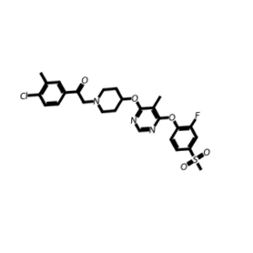 Cc1cc(C(=O)CN2CCC(Oc3ncnc(Oc4ccc(S(C)(=O)=O)cc4F)c3C)CC2)ccc1Cl